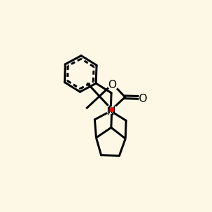 CC1(C)OC(=O)N1C1C2CCC1CN(Cc1ccccc1)C2